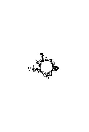 CNCCCC[C@@H]1NC(=O)CSC(C(C)=O)NC(=O)[C@H](Cc2ccccc2)NC(=O)CNC(=O)[C@H](CC(=O)O)NC(=O)CNC(=O)[C@H](CCCNC(=N)N)NC(=O)[C@H](CSSC)NC1=O